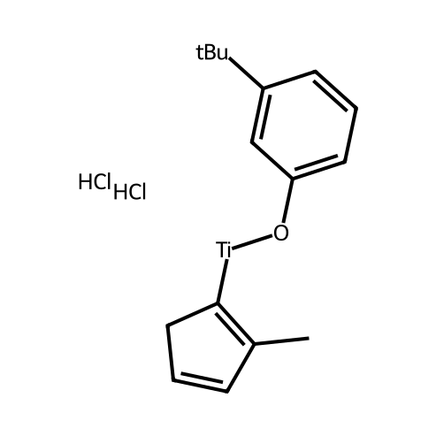 CC1=[C]([Ti][O]c2cccc(C(C)(C)C)c2)CC=C1.Cl.Cl